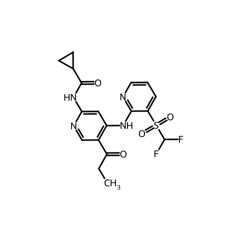 CCC(=O)c1cnc(NC(=O)C2CC2)cc1Nc1ncccc1S(=O)(=O)C(F)F